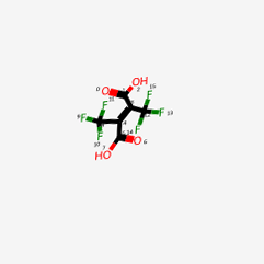 O=C(O)C(=C(C(=O)O)C(F)(F)F)C(F)(F)F